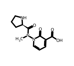 CN(C(=O)[C@H]1CCCN1)n1cccc(C(=O)O)c1=O